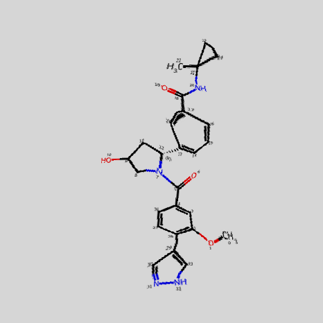 COc1cc(C(=O)N2CC(O)C[C@@H]2c2cccc(C(=O)NC3(C)CC3)c2)ccc1-c1cn[nH]c1